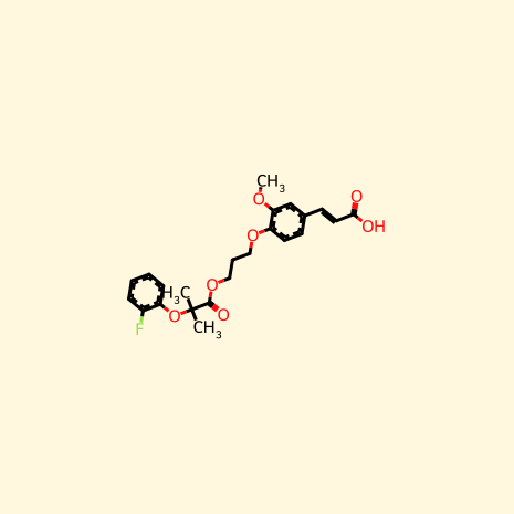 COc1cc(/C=C/C(=O)O)ccc1OCCCOC(=O)C(C)(C)Oc1ccccc1F